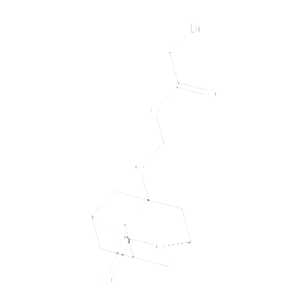 O=C(CBr)OCOC12CC3CC(C1)OC(=O)C(C3)C2